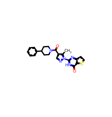 Cc1c(C(=O)N2CCC(c3ccccc3)CC2)cnn1-c1nc2ccsc2c(=O)[nH]1